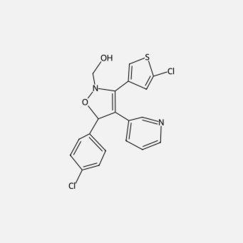 OCN1OC(c2ccc(Cl)cc2)C(c2cccnc2)=C1c1csc(Cl)c1